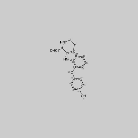 O=CC1NCCc2c1[nH]c1c(Oc3ccc(O)cc3)cccc21